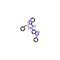 O=C(Nc1ccc2c(c1)ncn2-c1ccccc1)c1c(OCc2ccccc2)nn2ccccc12